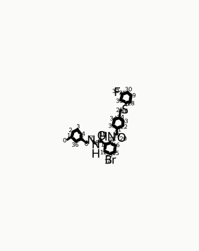 Cc1cccc(/C=N/NC(=O)c2cc(Br)ccc2NC(=O)c2ccc(CSc3cccc(F)c3)cc2)c1